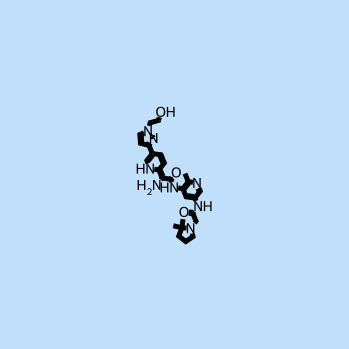 Cc1ncc(NC(=O)CN2CCCC2(C)C)cc1NC(=O)/C(N)=C1\C=CC(c2ccn(CCO)n2)=CN1